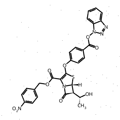 C[C@@H](O)[C@H]1C(=O)N2C(C(=O)OCc3ccc([N+](=O)[O-])cc3)=C(Oc3ccc(C(=O)On4nnc5ccccc54)cc3)S[C@H]12